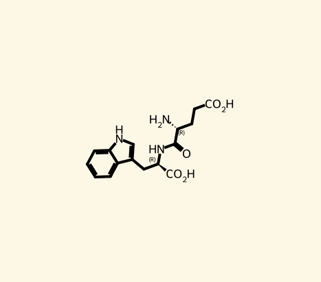 N[C@H](CCC(=O)O)C(=O)N[C@H](Cc1c[nH]c2ccccc12)C(=O)O